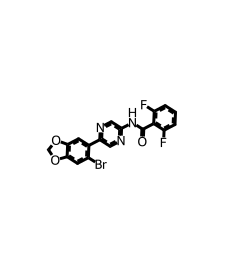 O=C(Nc1cnc(-c2cc3c(cc2Br)OCO3)cn1)c1c(F)cccc1F